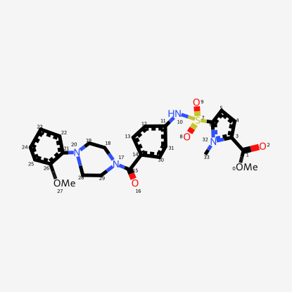 COC(=O)c1ccc(S(=O)(=O)Nc2ccc(C(=O)N3CCN(c4ccccc4OC)CC3)cc2)n1C